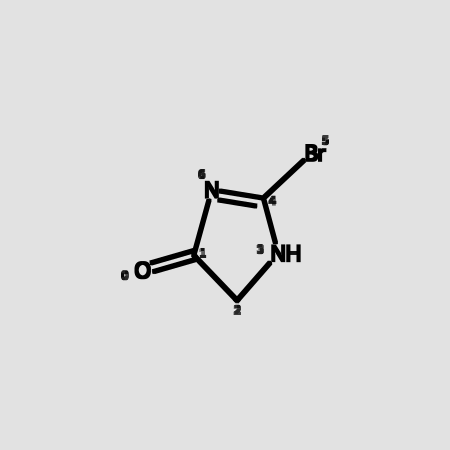 O=C1CNC(Br)=N1